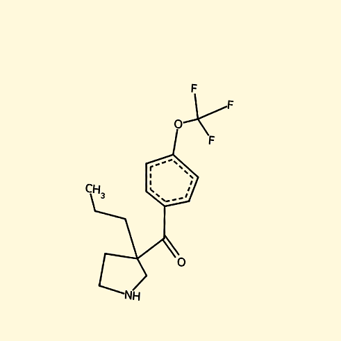 CCCC1(C(=O)c2ccc(OC(F)(F)F)cc2)CCNC1